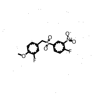 COc1ccc(CS(=O)(=O)c2ccc(F)c([N+](=O)[O-])c2)cc1F